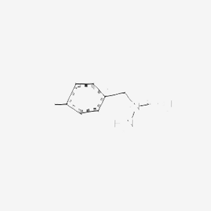 Cc1ccc(CN(N)C(=O)O)cc1